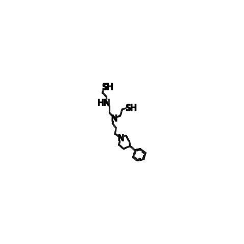 SCCNCCN(CCS)CCCN1CCC(c2ccccc2)CC1